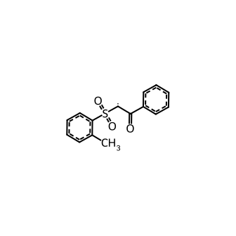 Cc1ccccc1S(=O)(=O)[CH]C(=O)c1ccccc1